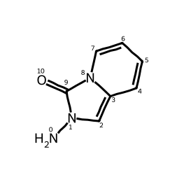 Nn1cc2ccccn2c1=O